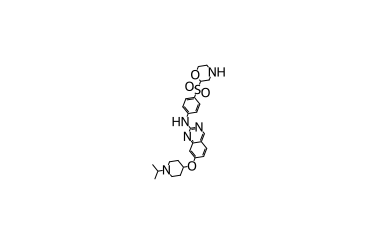 CC(C)N1CCC(Oc2ccc3cnc(Nc4ccc(S(=O)(=O)C5CNCCO5)cc4)nc3c2)CC1